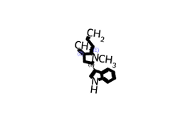 C=C/C=C1\C(=C/C)C[C@@H](c2c[nH]c3ccccc23)N1C